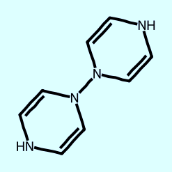 C1=CN(N2C=CNC=C2)C=CN1